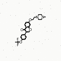 CN1CCN(CCOc2ccc3c(=O)c(-c4ccc(OC(C)(F)F)cc4)coc3c2)CC1